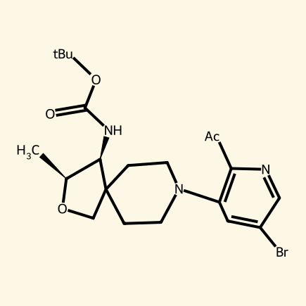 CC(=O)c1ncc(Br)cc1N1CCC2(CC1)CO[C@@H](C)[C@H]2NC(=O)OC(C)(C)C